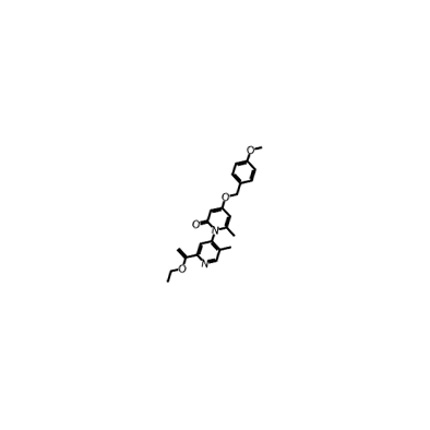 C=C(OCC)c1cc(-n2c(C)cc(OCc3ccc(OC)cc3)cc2=O)c(C)cn1